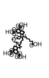 COCC[N+]1=C(/C=C/C=C2/N(CCCCCC(=O)O)c3ccc4c(S(=O)(=O)O)cc(S(=O)(=O)O)cc4c3C2(C)CCOC)C(C)(C)c2c1ccc1c(S(=O)(=O)O)cc(S(=O)(=O)O)cc21